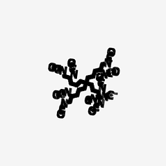 [C-]#[N+]C(N=C=O)([N+]#[C-])C(CCC(CCCC(CN=C=O)N=C=O)(CCCC(CN=C=O)N=C=O)CCCC(CN=C=O)N=C=O)N=C=O